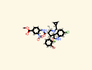 COC(=O)c1ccc(NC(=O)[C@@H]2[C@H](C)N(CC3CC3)[C@@]3(C(=O)Nc4cc(Cl)ccc43)[C@H]2c2cccc(Br)c2F)c([N+](=O)[O-])c1